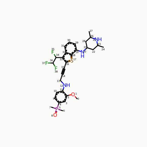 COc1cc(P(C)(C)=O)ccc1NCC#Cc1sc2c(NC3CC(C)NC(C)C3)cccc2c1C(F)C(F)F